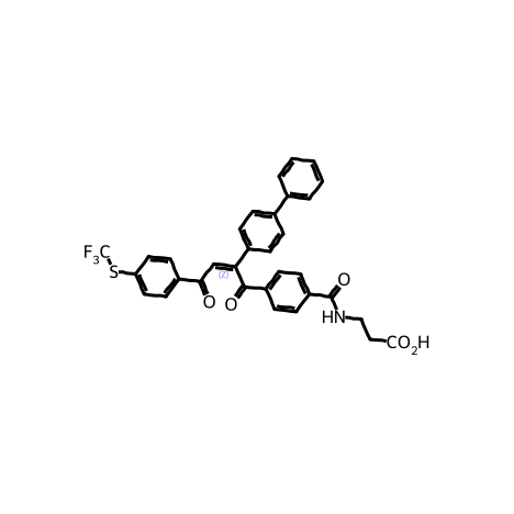 O=C(O)CCNC(=O)c1ccc(C(=O)/C(=C\C(=O)c2ccc(SC(F)(F)F)cc2)c2ccc(-c3ccccc3)cc2)cc1